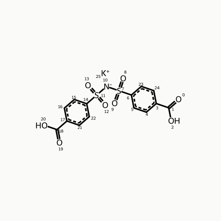 O=C(O)c1ccc(S(=O)(=O)[N-]S(=O)(=O)c2ccc(C(=O)O)cc2)cc1.[K+]